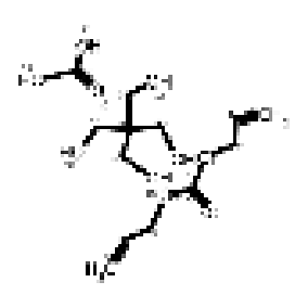 C=CCOC(=O)OCC=C.O=C(O)O.OCC(CO)(CO)CO